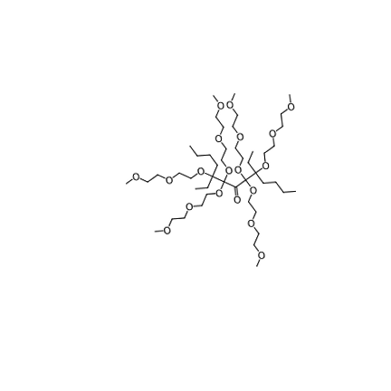 CCCCC(CC)(OCCOCCOC)C(OCCOCCOC)(OCCOCCOC)C(=O)C(OCCOCCOC)(OCCOCCOC)C(CC)(CCCC)OCCOCCOC